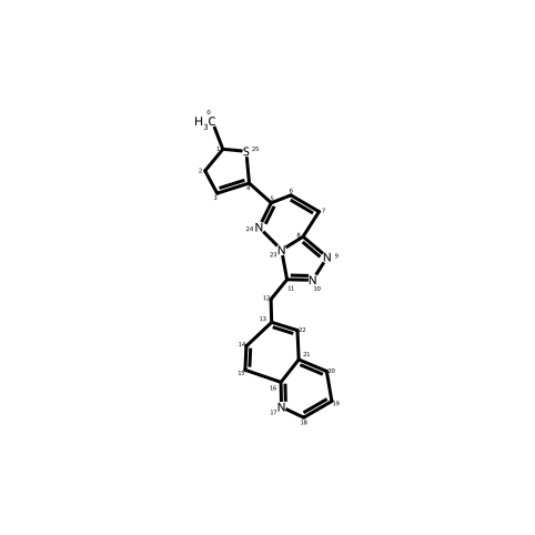 CC1CC=C(c2ccc3nnc(Cc4ccc5ncccc5c4)n3n2)S1